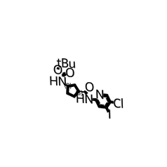 CC(C)(C)OC(=O)N[C@@H]1CC[C@H](C(=O)Nc2cc(I)c(Cl)cn2)C1